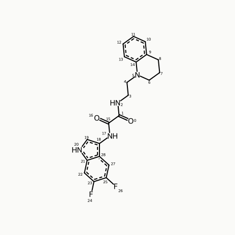 O=C(NCCN1CCCc2ccccc21)C(=O)Nc1c[nH]c2cc(F)c(F)cc12